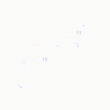 CN1CCc2nc(C(=O)NC(CNC(=S)C(=O)Nc3ccc(Cl)nn3)C(=O)N(C)C)sc2C1